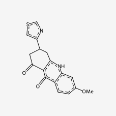 COc1ccc2c(=O)c3c([nH]c2c1)CC(c1cscn1)CC3=O